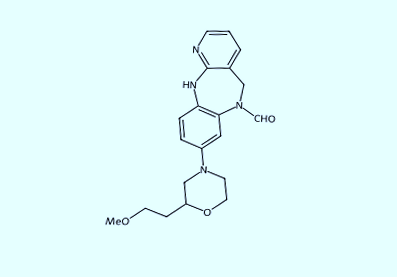 COCCC1CN(c2ccc3c(c2)N(C=O)Cc2cccnc2N3)CCO1